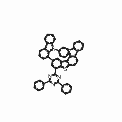 c1ccc(-c2nc(-c3ccccc3)nc(-c3cc(-c4cccc5c6ccccc6n(-c6ccccc6)c45)cc4c3sc3ccc5c6ccccc6sc5c34)n2)cc1